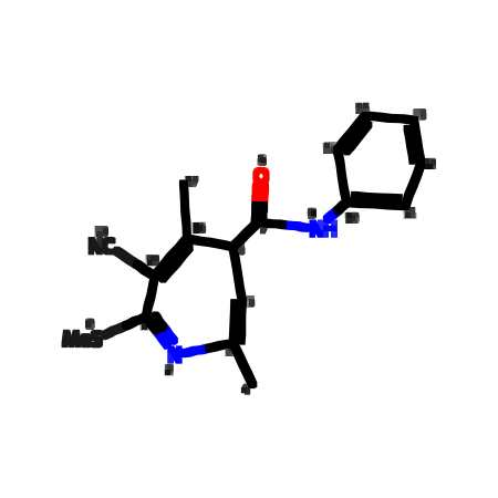 CSC1=NC(C)=CC(C(=O)Nc2ccccc2)C(C)=C1C#N